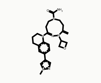 C=C1CCN(C(N)=O)CC/C(N2CCCc3cc(-c4cnn(C)c4)ccc32)=N\N1C1COC1